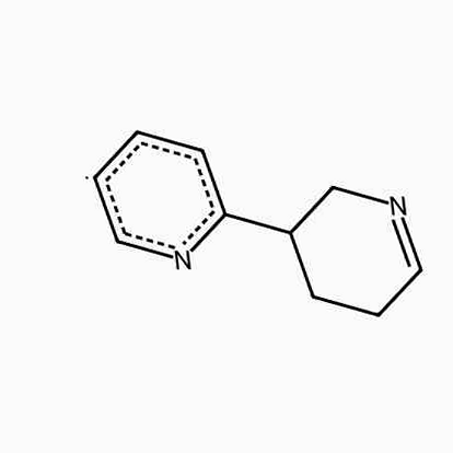 [c]1ccc(C2CCC=NC2)nc1